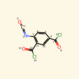 O=C=Nc1ccc(C(=O)Cl)cc1C(=O)Cl